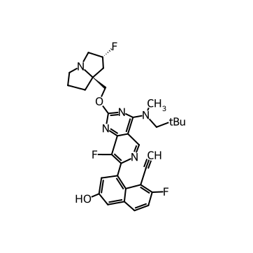 C#Cc1c(F)ccc2cc(O)cc(-c3ncc4c(N(C)CC(C)(C)C)nc(OC[C@@]56CCCN5C[C@H](F)C6)nc4c3F)c12